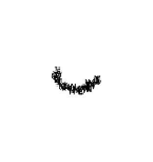 Cn1cc(-c2cnc3c(nnn3C[C@@H]3CN(c4ncc(N5CCN(CC6CN(C(=O)OC(C)(C)C)C6)CC5)cn4)CCO3)n2)cn1